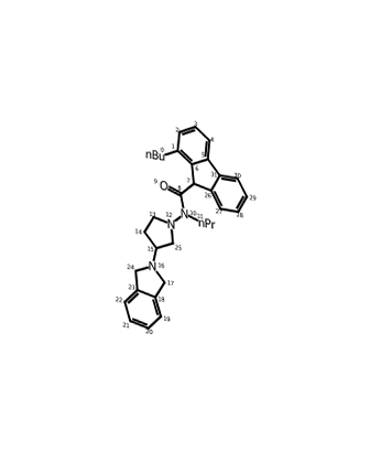 CCCCc1cccc2c1C(C(=O)N(CCC)N1CCC(N3Cc4ccccc4C3)C1)c1ccccc1-2